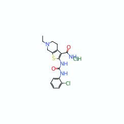 CCN1CCc2c(sc(NC(=O)Nc3ccccc3Cl)c2C(N)=O)C1.Cl